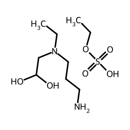 CCN(CCCN)CC(O)O.CCOS(=O)(=O)O